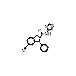 C[C@@]1(C(=O)Nc2ncns2)Cc2ccc(C#N)cc2[C@@H]1c1ccccc1